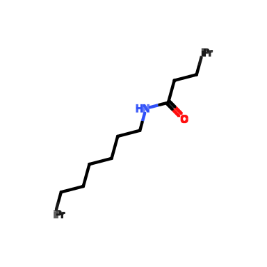 CC(C)CCCCCCNC(=O)CCC(C)C